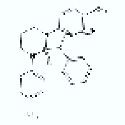 Cc1ccc(N2CCCN(c3ccc(C)cc3)P2(=O)C(CC#N)c2ccccc2)cc1